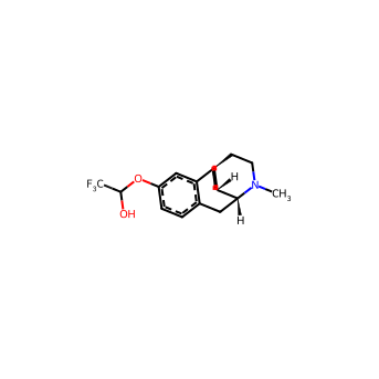 CN1CC[C@]23CCCC[C@H]2[C@H]1Cc1ccc(OC(O)C(F)(F)F)cc13